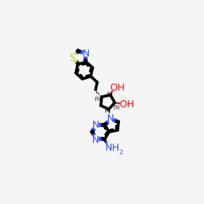 Nc1ncnc2c1ccn2[C@@H]1C[C@H](CCc2ccc3scnc3c2)[C@@H](O)[C@H]1O